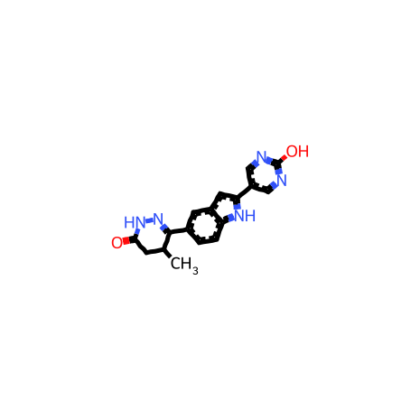 CC1CC(=O)NN=C1c1ccc2[nH]c(-c3cnc(O)nc3)cc2c1